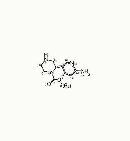 CC(C)(C)OC(=O)N1CCNCC1c1ccc(N)nc1